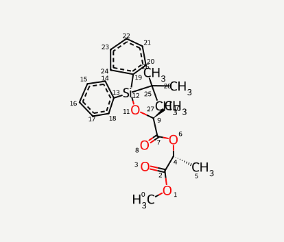 COC(=O)[C@@H](C)OC(=O)[C@H](C)O[Si](c1ccccc1)(c1ccccc1)C(C)(C)C